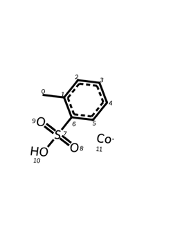 Cc1ccccc1S(=O)(=O)O.[Co]